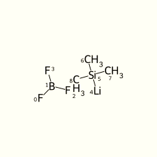 FB(F)F.[Li][Si](C)(C)C